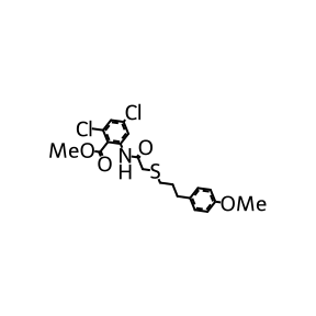 COC(=O)c1c(Cl)cc(Cl)cc1NC(=O)CSCCCc1ccc(OC)cc1